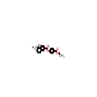 CCOC(=O)c1ccc(OC(=O)c2ccc3c(c2)CCCC3(C)C)cc1